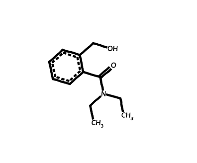 CCN(CC)C(=O)c1ccccc1CO